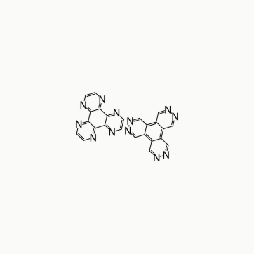 c1cnc2c(n1)c1nccnc1c1nccnc21.c1nncc2c1c1cnncc1c1cnncc21